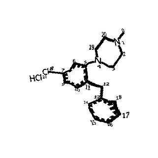 CN1CCN(c2cc(Cl)ccc2Cc2ccccc2)CC1.Cl